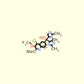 COc1nc2ccc(C(O)(c3cnc(C)n3C)c3cnc(C)n3C)cc2c(Cl)c1OCC(F)(F)F